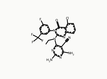 CCN(c1nc(N)nc(N)c1C#N)c1nc2cccc(Cl)c2c(=O)n1-c1cc(F)cc(C(F)(F)F)c1